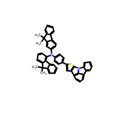 CC1(C)c2ccccc2-c2ccc(N(c3ccc(-c4cc5c6cccc7c8ccccc8n(c5s4)c76)cc3)c3cccc4c3-c3ccccc3C4(C)C)cc21